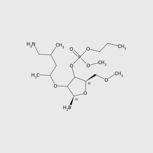 B[C@@H]1O[C@H](COC)C(OP(=O)(OC)OCCC)C1OC(C)CC(C)CN